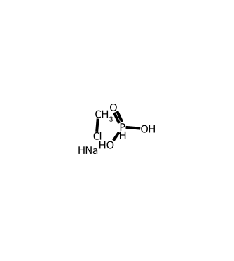 CCl.O=[PH](O)O.[NaH]